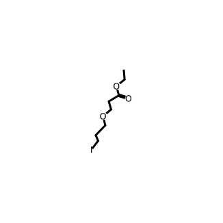 CCOC(=O)CCOCCCI